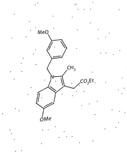 CCOC(=O)Cc1c(C)n(Cc2cccc(OC)c2)c2ccc(OC)cc12